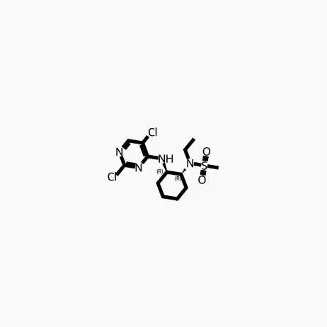 CCN([C@@H]1CCCC[C@H]1Nc1nc(Cl)ncc1Cl)S(C)(=O)=O